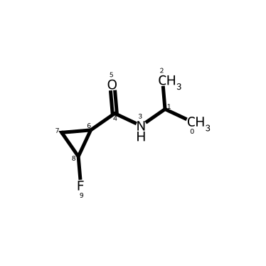 CC(C)NC(=O)C1CC1F